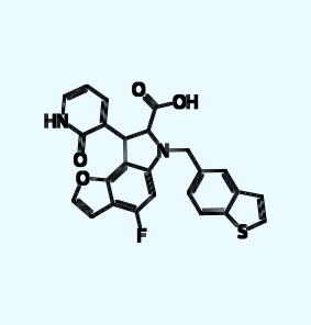 O=C(O)C1C(c2ccc[nH]c2=O)c2c(cc(F)c3ccoc23)N1Cc1ccc2sccc2c1